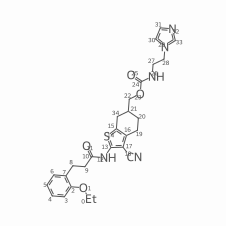 CCOc1ccccc1CCC(=O)Nc1sc2c(c1C#N)CCC(COC(=O)NCCn1ccnc1)C2